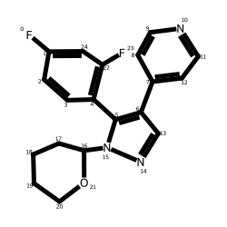 Fc1ccc(-c2c(-c3ccncc3)cnn2C2CCCCO2)c(F)c1